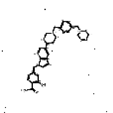 NC(=O)c1ccc(Cn2ccc3cc(C4CCN(Cc5ccc(CN6CCOCC6)cc5)CC4)cnc32)cc1O